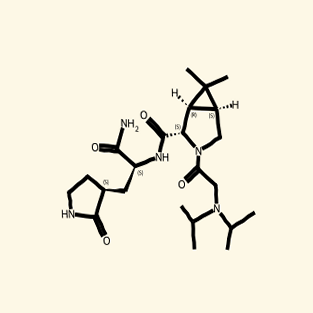 CC(C)N(CC(=O)N1C[C@H]2[C@@H]([C@H]1C(=O)N[C@@H](C[C@@H]1CCNC1=O)C(N)=O)C2(C)C)C(C)C